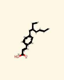 CCCCC(CC)Cc1ccc(C=CC(=O)O)cc1